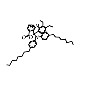 CCCCCCCCc1ccc(N(c2ccc(CCCCCCCC)cc2)C2(c3ccc(CC)c(CC)c3N)OC(=O)c3ccccc32)cc1